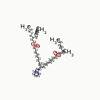 C=C=C=C=CC(CCCCC)CCOC(=O)CCCCCCCCCC(CCCCCCCCCC(=O)OCCC(C)CCCCC)CCN1CCCCC1